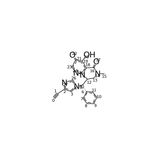 C#Cc1cn([C@@H](c2ccccc2)C2CN(C)C(=O)c3c(O)c(=O)cnn32)cn1